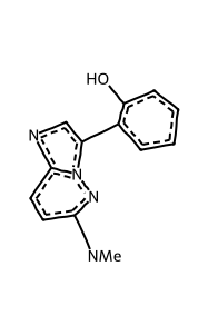 CNc1ccc2ncc(-c3ccccc3O)n2n1